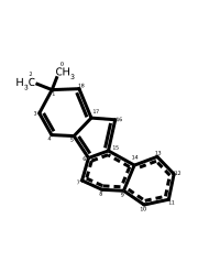 CC1(C)C=CC2=c3ccc4cc[c]cc4c3=CC2=C1